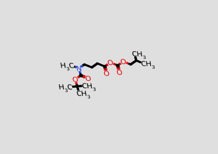 CC(C)COC(=O)OC(=O)CCCN(C)C(=O)OC(C)(C)C